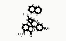 O=C(O)c1cccc2c1C(=O)OC21c2ccc(O)cc2Oc2cc(O)ccc21.c1ccc2ccccc2c1